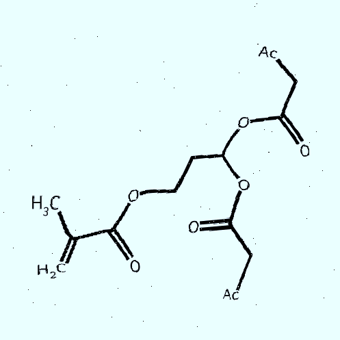 C=C(C)C(=O)OCCC(OC(=O)CC(C)=O)OC(=O)CC(C)=O